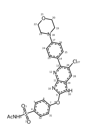 CC(=O)NS(=O)(=O)c1ccc(Oc2nc3nc(-c4ccc(N5CCOCC5)cc4)c(Cl)cc3[nH]2)cc1